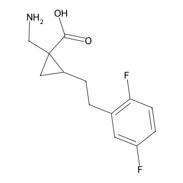 NCC1(C(=O)O)CC1CCc1cc(F)ccc1F